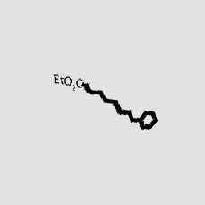 CCOC(=O)/C=C/CCC=CCCc1ccccc1